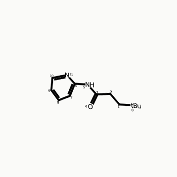 CC(C)(C)CCC(=O)Nc1ccccn1